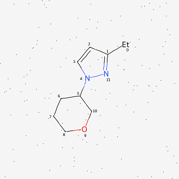 CCc1ccn(C2CCCOC2)n1